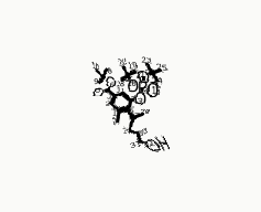 Cc1cc(C(=O)OC(C)(C)C)cc(OP(=O)(OC(C)(C)C)OC(C)(C)C)c1C(C)CCCO